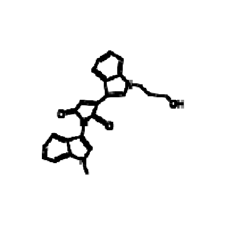 Cn1cc(N2C(=O)C=C(c3cn(CCCO)c4ccccc34)C2=O)c2ccccc21